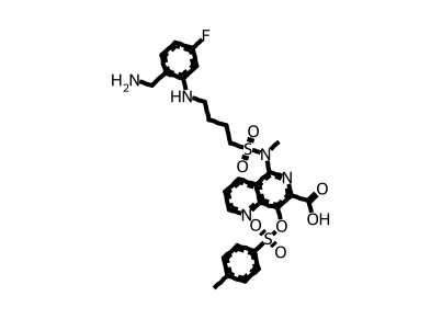 Cc1ccc(S(=O)(=O)Oc2c(C(=O)O)nc(N(C)S(=O)(=O)CCCCNc3cc(F)ccc3CN)c3cccnc23)cc1